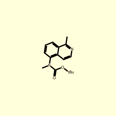 Cc1nccc2c(N(C)C(=O)OC(C)(C)C)cccc12